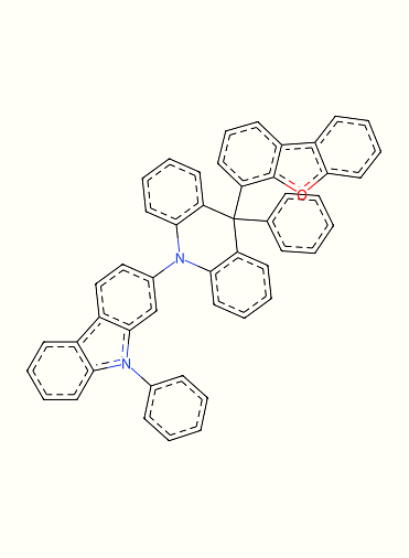 c1ccc(-n2c3ccccc3c3ccc(N4c5ccccc5C(c5ccccc5)(c5cccc6c5oc5ccccc56)c5ccccc54)cc32)cc1